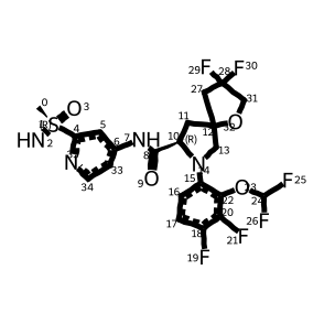 C[S@@](=N)(=O)c1cc(NC(=O)[C@H]2CC3(CN2c2ccc(F)c(F)c2OC(F)F)CC(F)(F)CO3)ccn1